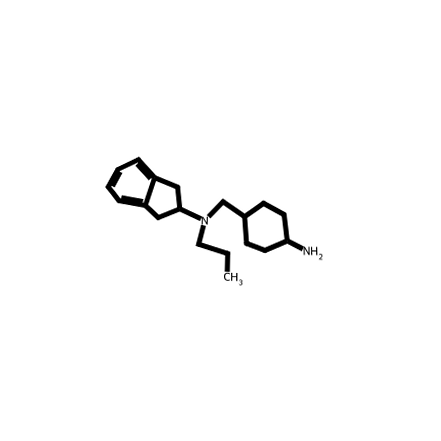 CCCN(CC1CCC(N)CC1)C1Cc2ccccc2C1